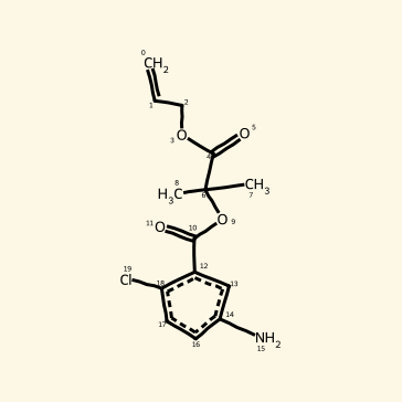 C=CCOC(=O)C(C)(C)OC(=O)c1cc(N)ccc1Cl